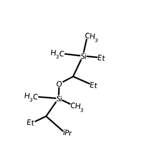 CCC(O[Si](C)(C)C(CC)C(C)C)[Si](C)(C)CC